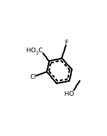 CO.O=C(O)c1c(F)cccc1Cl